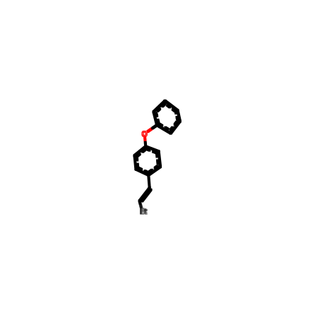 [CH2]CC=Cc1ccc(Oc2ccccc2)cc1